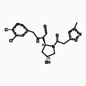 Cc1cc(CC(=O)N2C[C@H](O)C[C@H]2C(C=O)NCc2ccc(Cl)c(Cl)c2)on1